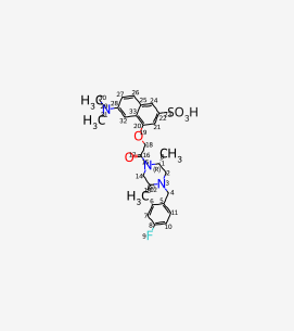 C[C@@H]1CN(Cc2ccc(F)cc2)[C@@H](C)CN1C(=O)COc1cc(S(=O)(=O)O)cc2ccc(N(C)C)cc12